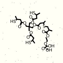 CC(S)CC(=O)OCC(COC(=O)CC(C)S)(COC(=O)CC(C)S)COC(=O)CC(C)SCC(C)C(=O)OCCOP(=O)(O)O